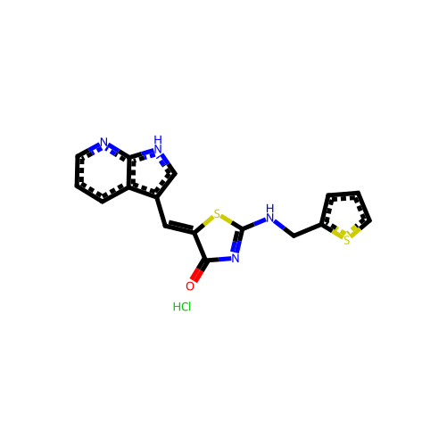 Cl.O=C1N=C(NCc2cccs2)S/C1=C\c1c[nH]c2ncccc12